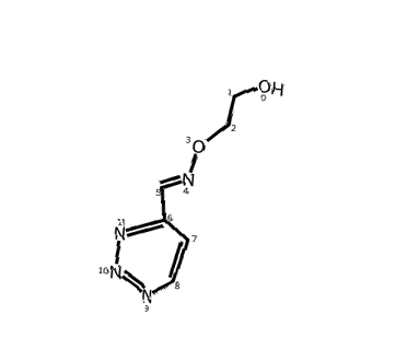 OCCON=Cc1ccnnn1